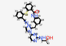 C[C@H](O)CNc1nccc(-n2ccnc2Cc2cccc(NC(=O)c3ccccc3Sc3ccccc3C#N)c2)n1